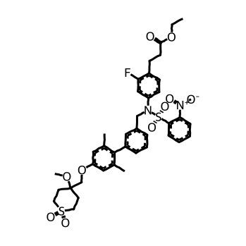 CCOC(=O)CCc1ccc(N(Cc2cccc(-c3c(C)cc(OCC4(OC)CCS(=O)(=O)CC4)cc3C)c2)S(=O)(=O)c2ccccc2[N+](=O)[O-])cc1F